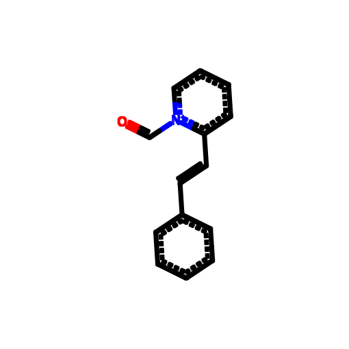 O=C[n+]1ccccc1C=Cc1ccccc1